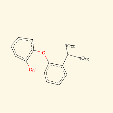 CCCCCCCCC(CCCCCCCC)c1ccccc1Oc1ccccc1O